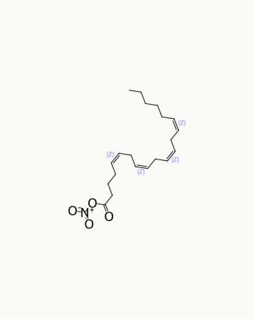 CCCCC/C=C\C/C=C\C/C=C\C/C=C\CCCC(=O)O[N+](=O)[O-]